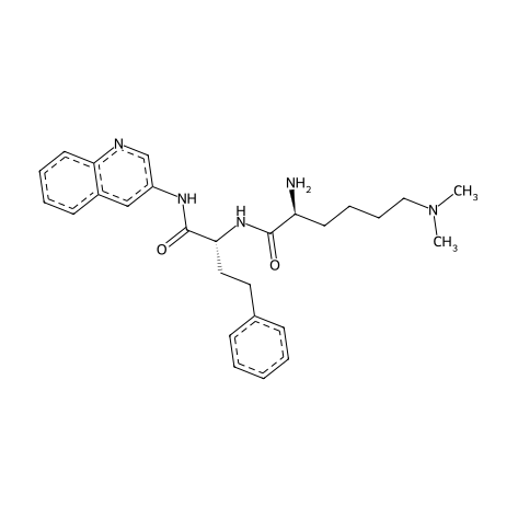 CN(C)CCCC[C@H](N)C(=O)N[C@H](CCc1ccccc1)C(=O)Nc1cnc2ccccc2c1